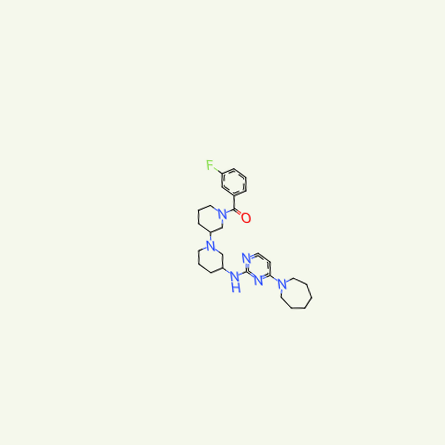 O=C(c1cccc(F)c1)N1CCCC(N2CCCC(Nc3nccc(N4CCCCCC4)n3)C2)C1